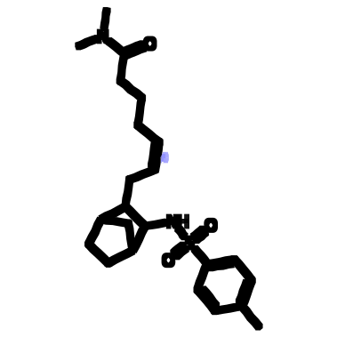 Cc1ccc(S(=O)(=O)NC2C3CCC(C3)C2C/C=C\CCCC(=O)N(C)C)cc1